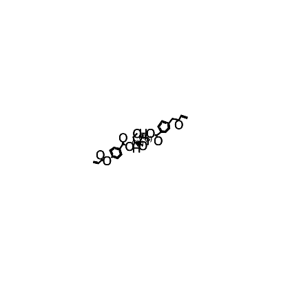 C=CC(=O)Cc1ccc(C(=O)O[C@H]2CO[C@H]3[C@@H]2OC[C@H]3OC(=O)c2ccc(OC(=O)C=C)cc2)cc1